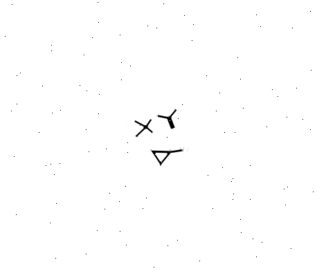 CC(=O)OC(C)(C)C.NC1CC1